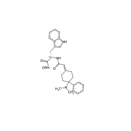 COC(=O)[C@H](Cc1c[nH]c2ccccc12)NC(=O)C=C1CCC(c2ccccc2)(N(C)C)CC1